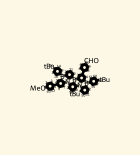 COc1ccc(-c2ccc3c(c2)B(c2ccc(C(C)(C)C)cc2)c2cccc4c2N3c2cc(C(C)(C)C)cc3c2B4c2cc(-c4ccc(C=O)cc4)cc4c2N3c2ccccc2B4c2ccc(C(C)(C)C)cc2)cc1